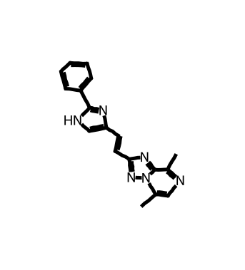 Cc1ncc(C)n2nc(C=Cc3c[nH]c(-c4ccccc4)n3)nc12